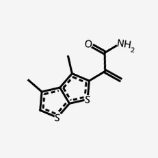 C=C(C(N)=O)c1sc2scc(C)c2c1C